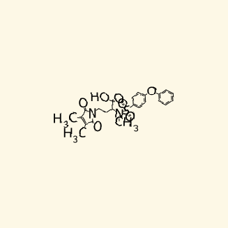 CC1=C(C)C(=O)N(CCC(C(=O)O)N(C)S(=O)(=O)c2ccc(Oc3ccccc3)cc2)C1=O